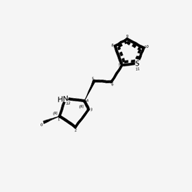 C[C@@H]1CC[C@H](CCc2cccs2)N1